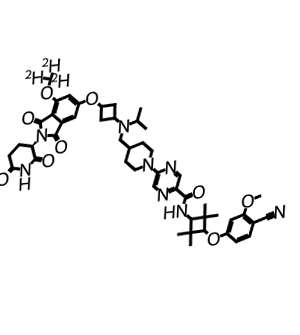 [2H]C([2H])([2H])Oc1cc(OC2CC(N(CC3CCN(c4cnc(C(=O)NC5C(C)(C)C(Oc6ccc(C#N)c(OC)c6)C5(C)C)cn4)CC3)C(C)C)C2)cc2c1C(=O)N([C@@H]1CCC(=O)NC1=O)C2=O